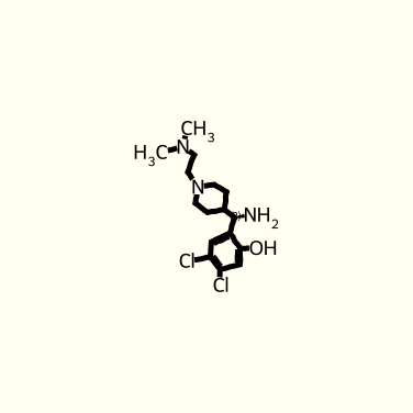 CN(C)CCN1CCC([C@@H](N)c2cc(Cl)c(Cl)cc2O)CC1